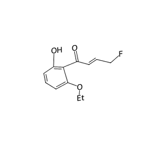 CCOc1cccc(O)c1C(=O)/C=C/CF